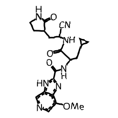 COc1cncc2[nH]c(C(=O)NC(CC3CC3)C(=O)NC(C#N)CC3CCNC3=O)nc12